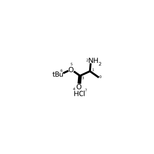 CC(N)C(=O)OC(C)(C)C.Cl